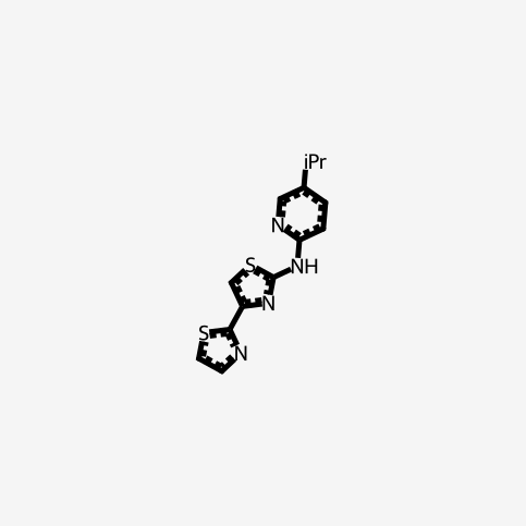 CC(C)c1ccc(Nc2nc(-c3nccs3)cs2)nc1